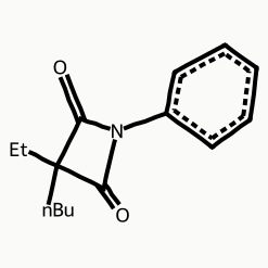 CCCCC1(CC)C(=O)N(c2ccccc2)C1=O